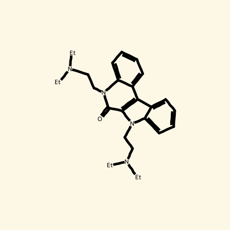 CCN(CC)CCn1c(=O)c2c(c3ccccc31)c1ccccc1n2CCN(CC)CC